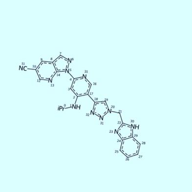 CC(C)Nc1cc(-n2ncc3cc(C#N)cnc32)ncc1-c1cn(Cc2nc3ccccc3[nH]2)nn1